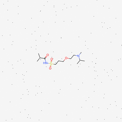 CC(C)C(=O)NS(=O)(=O)CCCOCCN(C)C(C)C